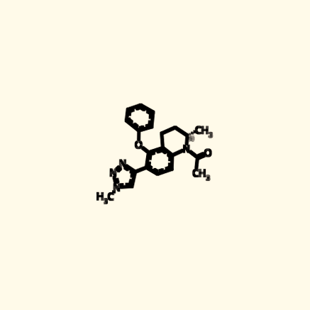 CC(=O)N1c2ccc(-c3cn(C)nn3)c(Oc3ccccc3)c2CC[C@@H]1C